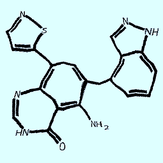 Nc1c(-c2cccc3[nH]ncc23)cc(-c2ccns2)c2nc[nH]c(=O)c12